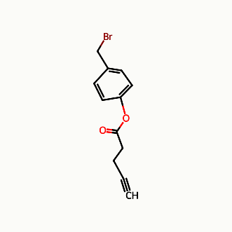 C#CCCC(=O)Oc1ccc(CBr)cc1